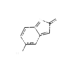 Cc1ccc2c(c1)=CC(=O)N=2